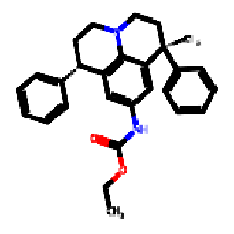 CCOC(=O)Nc1cc2c3c(c1)[C@](C)(c1ccccc1)CCN3CC[C@H]2c1ccccc1